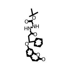 CC(C)(C)OC(=O)NNC(=O)CC(Oc1ccc2ccc(=O)oc2c1)c1ccccc1